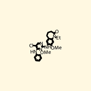 CCN1C(=O)CCCc2cc(Nc3ncc(Cl)c(Nc4ccccc4OC)n3)c(OC)cc21